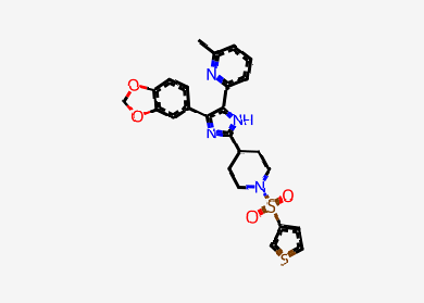 Cc1cccc(-c2[nH]c(C3CCN(S(=O)(=O)c4ccsc4)CC3)nc2-c2ccc3c(c2)OCO3)n1